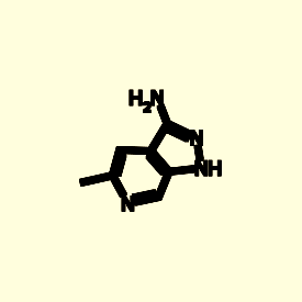 Cc1cc2c(N)n[nH]c2cn1